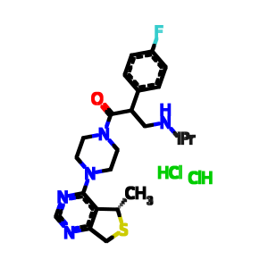 CC(C)NCC(C(=O)N1CCN(c2ncnc3c2[C@H](C)SC3)CC1)c1ccc(F)cc1.Cl.Cl